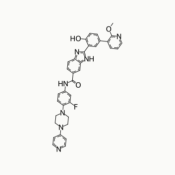 COc1ncccc1-c1ccc(O)c(-c2nc3ccc(C(=O)Nc4ccc(N5CCN(c6ccncc6)CC5)c(F)c4)cc3[nH]2)c1